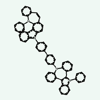 C1=Cc2ccc3c(c2N(c2ccccc2)c2ccccc21)c1ccccc1n3-c1ccc(-c2ccc(N3c4ccccc4-c4c(n(-c5ccccc5)c5ccccc45)-c4ccccc43)cc2)cc1